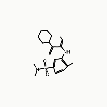 C=C(/C(=C\C)Nc1cc(S(=O)(=O)N(C)C)ccc1C)C1CCCCC1